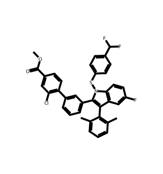 COC(=O)c1ccc(-c2cccc(-c3c(-c4c(C)cccc4C)c4cc(F)ccc4n3Sc3ccc(C(F)F)cc3)c2)c(Cl)c1